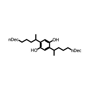 CCCCCCCCCCCCCC(C)c1cc(O)c(C(C)CCCCCCCCCCCCC)cc1O